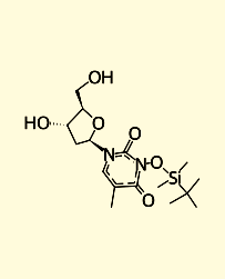 Cc1cn([C@H]2C[C@H](O)[C@@H](CO)O2)c(=O)n(O[Si](C)(C)C(C)(C)C)c1=O